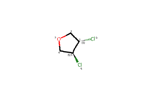 Cl[C@H]1COC[C@@H]1Cl